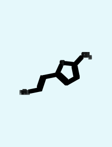 CCCC/C=C/c1ccc(C)o1